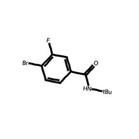 CC(C)(C)NC(=O)c1ccc(Br)c(F)c1